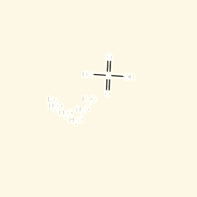 O.O.O.O.O.O=S(=O)(O)O.[La]